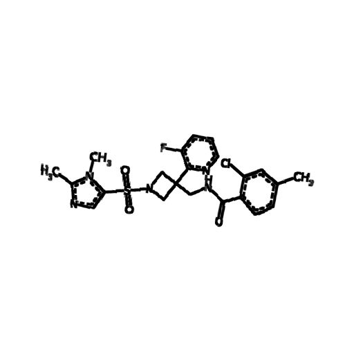 Cc1ccc(C(=O)NCC2(c3ncccc3F)CN(S(=O)(=O)c3cnc(C)n3C)C2)c(Cl)c1